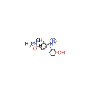 C=CCN1C2CC1CN(C(c1ccc(C(=O)N(C)C)cc1)c1cccc(O)c1)C2